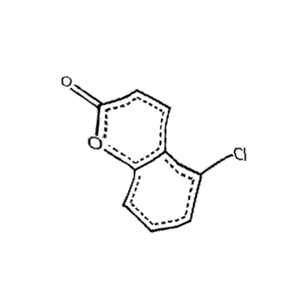 O=c1ccc2c(Cl)cccc2o1